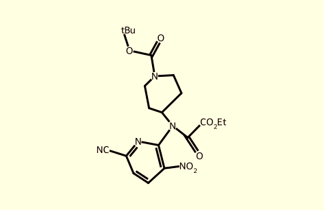 CCOC(=O)C(=O)N(c1nc(C#N)ccc1[N+](=O)[O-])C1CCN(C(=O)OC(C)(C)C)CC1